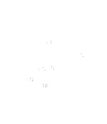 Cl.N=C(N)NN=Cc1ccnc2ccccc12